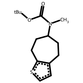 CN(C(=O)OC(C)(C)C)C1CCc2ccsc2CC1